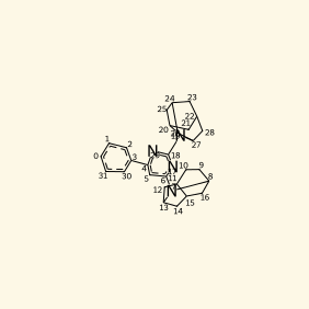 c1ccc(-c2cc(N3C4CCC5CC3CC5C4)nc(N3C4CC5CC(C4)CC3C5)n2)cc1